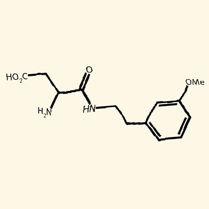 COc1cccc(CCNC(=O)C(N)CC(=O)O)c1